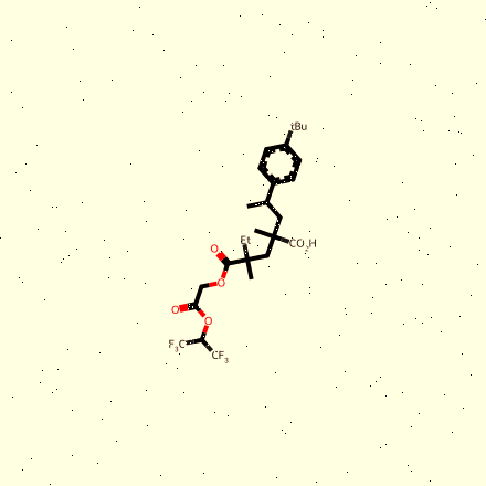 CCC(C)(CC(C)(CC(C)c1ccc(C(C)(C)C)cc1)C(=O)O)C(=O)OCC(=O)OC(C(F)(F)F)C(F)(F)F